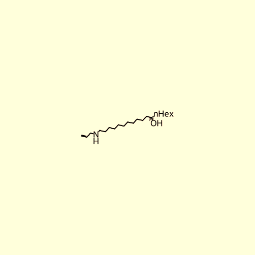 C=CCNCCCCCCCCCCC[C@H](O)CCCCCC